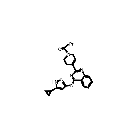 CC(C)C(=O)N1CC=C(c2nc(Nc3cc(C4CC4)[nH]n3)c3ccccc3n2)CC1